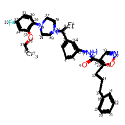 CCC(c1cccc(NC(=O)c2cnoc2CCCc2ccccc2)c1)N1CCN(c2ccc(F)cc2OCC(F)(F)F)CC1